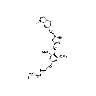 COc1cc(OC/C=N/C=C\C=C/I)cc(OC)c1/C=C/c1cc(/C=C/c2ccc3ccn(C)c3c2)[nH]n1